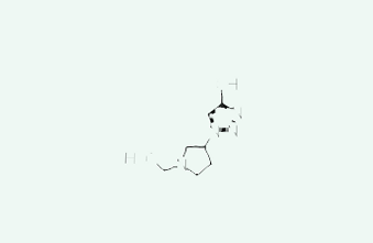 CCN1CCC(n2cc(C)nn2)C1